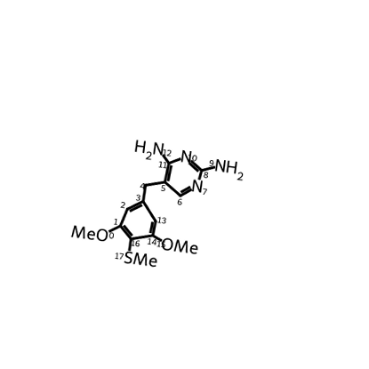 COc1cc(Cc2cnc(N)nc2N)cc(OC)c1SC